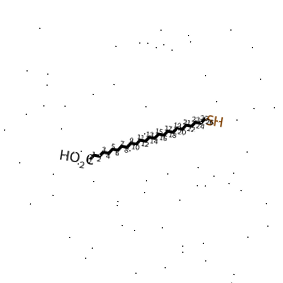 O=C(O)CCCCCCCCCCCCCCCCCCCCCCCCCS